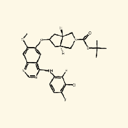 COc1cc2ncnc(Nc3ccc(F)c(Cl)c3F)c2cc1OC1C[C@@H]2CN(C(=O)OC(C)(C)C)C[C@H]2C1